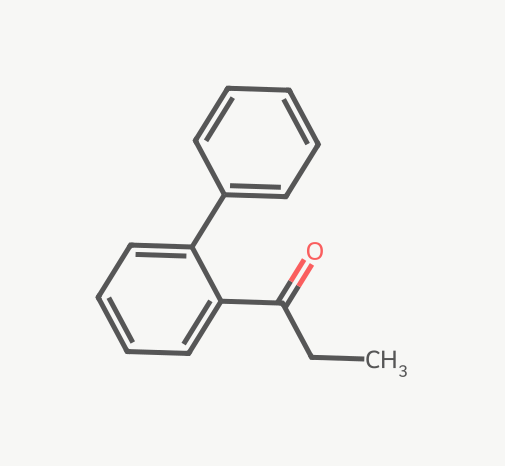 CCC(=O)c1ccccc1-c1ccccc1